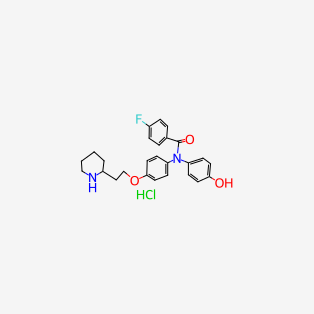 Cl.O=C(c1ccc(F)cc1)N(c1ccc(O)cc1)c1ccc(OCCC2CCCCN2)cc1